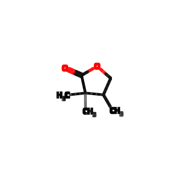 CC1COC(=O)C1(C)C